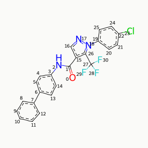 O=C(Nc1ccc(-c2ccccc2)cc1)c1cnn(-c2ccc(Cl)cc2)c1C(F)(F)F